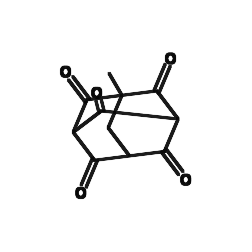 CC12CC3C(=O)C(C(=O)C(C3=O)C1=O)C2=O